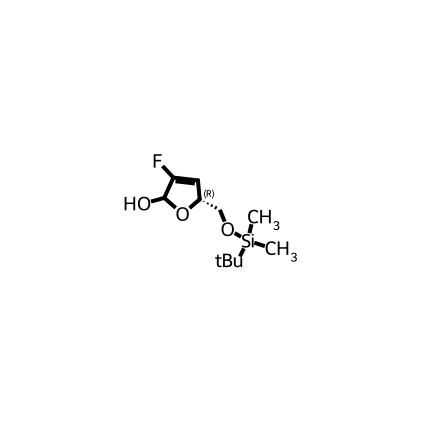 CC(C)(C)[Si](C)(C)OC[C@H]1C=C(F)C(O)O1